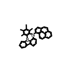 Cc1c(C)c(C)c2c(c1C)B1c3ccccc3-c3cccc(c31)N2c1ccc2ccc3cccc4ccc1c2c34